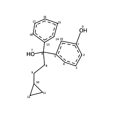 Oc1cccc(C(O)(CCC2CC2)c2ccccc2)c1